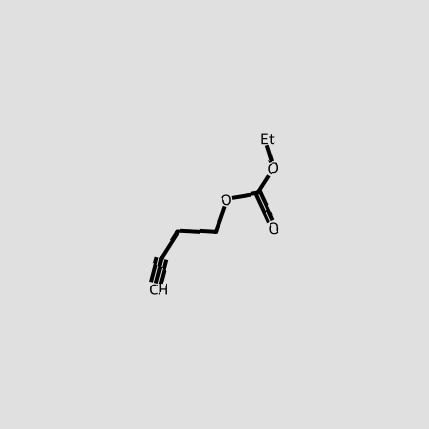 C#CCCOC(=O)OCC